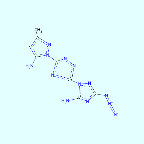 Cc1nc(N)n(-c2nnc(-n3nc(N=[N+]=[N-])nc3N)nn2)n1